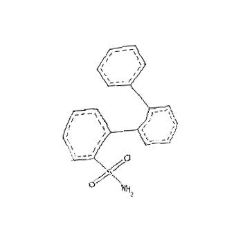 NS(=O)(=O)c1[c]cccc1-c1ccccc1-c1ccccc1